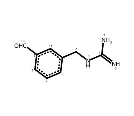 N=C(N)NCc1cccc(C=O)c1